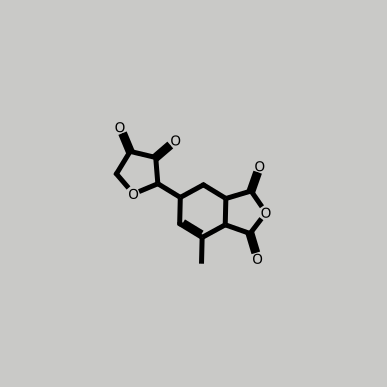 CC1=CC(C2OCC(=O)C2=O)CC2C(=O)OC(=O)C12